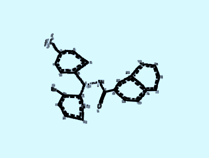 O=C(N[C@@H](c1ccc(C(F)(F)F)cc1)c1ncccc1Br)c1ccc2cccnc2c1